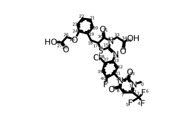 Cn1c(C(F)(F)F)cc(=O)n(-c2cc(/N=C3\SC(Cc4ccccc4OCC(=O)O)C(=O)N3CC(=O)O)c(Cl)cc2F)c1=O